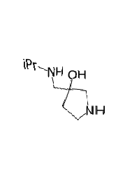 CC(C)NCC1(O)CCNC1